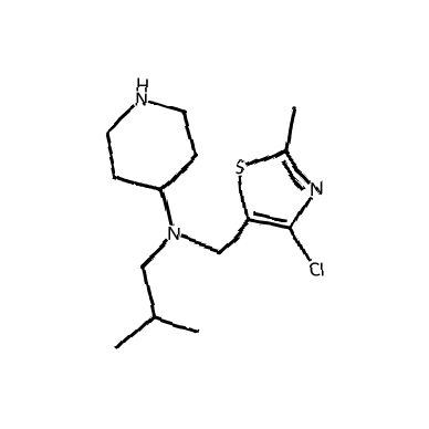 Cc1nc(Cl)c(CN(CC(C)C)C2CCNCC2)s1